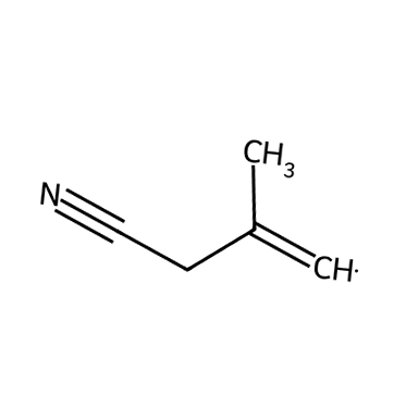 [CH]=C(C)CC#N